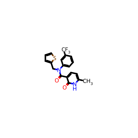 Cc1ccc(C(=O)N(Cc2cccs2)c2cccc(C(F)(F)F)c2)c(=O)[nH]1